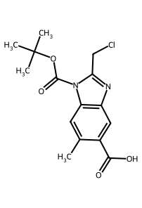 Cc1cc2c(cc1C(=O)O)nc(CCl)n2C(=O)OC(C)(C)C